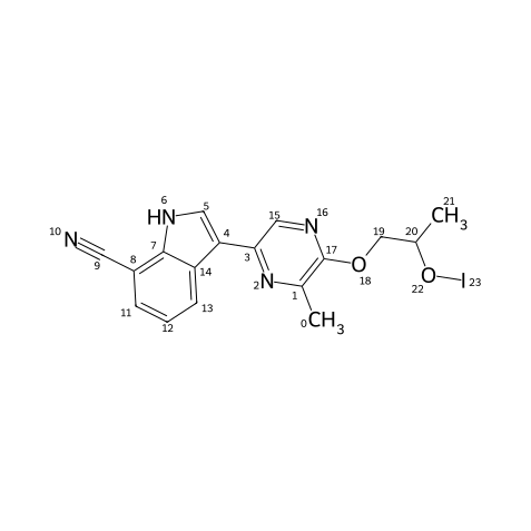 Cc1nc(-c2c[nH]c3c(C#N)cccc23)cnc1OCC(C)OI